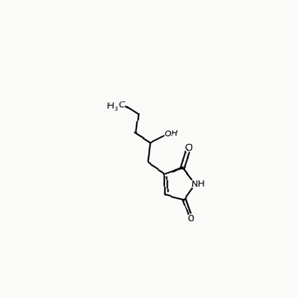 CCCC(O)CC1=CC(=O)NC1=O